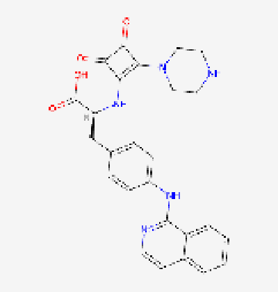 O=C(O)[C@H](Cc1ccc(Nc2nccc3ccccc23)cc1)Nc1c(N2CCNCC2)c(=O)c1=O